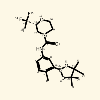 Cc1ccc(NC(=O)N2CCO[C@@H](C(F)(F)F)C2)cc1B1OC(C)(C)C(C)(C)O1